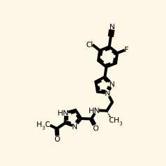 CC(=O)c1nc(C(=O)N[C@@H](C)Cn2ccc(-c3cc(F)c(C#N)c(Cl)c3)n2)c[nH]1